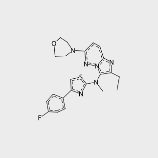 CCc1nc2ccc(N3CCOCC3)nn2c1N(C)c1nc(-c2ccc(F)cc2)cs1